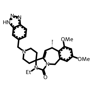 CCN1C(=O)N2Cc3cc(OC)cc(OC)c3[C@@H](C)C=C2C12CCN(Cc1ccc3nn[nH]c3c1)CC2